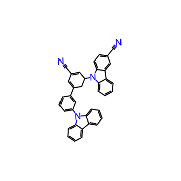 N#CC1=CC(n2c3ccccc3c3cc(C#N)ccc32)CC(c2cccc(-n3c4ccccc4c4ccccc43)c2)=C1